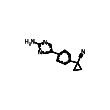 N#CC1(c2ccc(-c3cnc(N)nc3)cc2)CC1